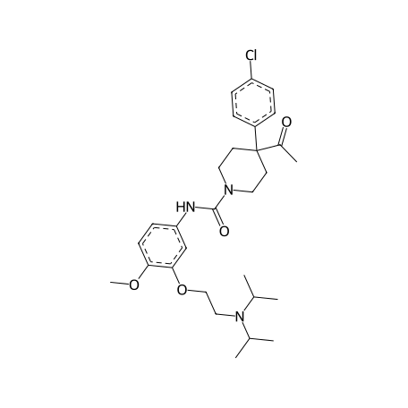 COc1ccc(NC(=O)N2CCC(C(C)=O)(c3ccc(Cl)cc3)CC2)cc1OCCN(C(C)C)C(C)C